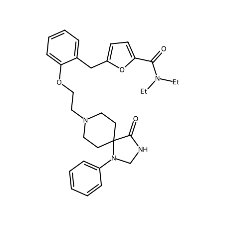 CCN(CC)C(=O)c1ccc(Cc2ccccc2OCCN2CCC3(CC2)C(=O)NCN3c2ccccc2)o1